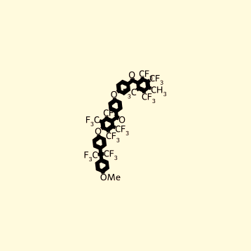 COc1ccc(C(c2ccc(Oc3c(C(F)(F)F)c(C(F)(F)F)c(C(=O)c4ccc(Oc5ccc(C(=O)c6c(C(F)(F)F)c(C(F)(F)F)c(C)c(C(F)(F)F)c6C(F)(F)F)cc5)cc4)c(C(F)(F)F)c3C(F)(F)F)cc2)(C(F)(F)F)C(F)(F)F)cc1